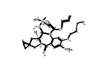 C=CCOC(=O)N1c2cc(OCCCBr)c(OC)cc2C(=O)N2CC3(CC3)C[C@H]2C1O[Si](C)(C)C(C)(C)C